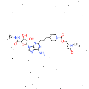 CN1C(=O)CC1COC(=O)N1CCC(CCCc2nc(N)c3ncn([C@@H]4O[C@H](C(=O)NC5CC5)C(O)[C@@H]4O)c3n2)CC1